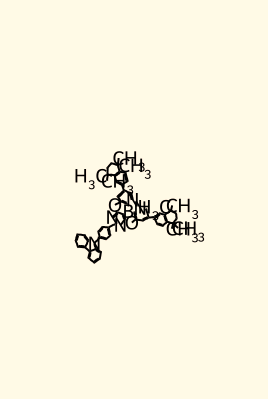 CC1(C)CCC(C)(C)c2cc(-c3cnc4c(c3)Oc3nc(-c5ccc(-n6c7ccccc7c7ccccc76)cc5)nc5c3B4c3ncc(-c4ccc6c(c4)C(C)(C)CCC6(C)C)cc3O5)ccc21